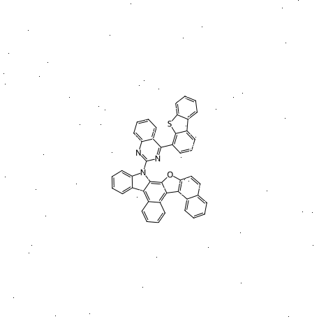 c1ccc2c(c1)ccc1oc3c(c4ccccc4c4c5ccccc5n(-c5nc(-c6cccc7c6sc6ccccc67)c6ccccc6n5)c34)c12